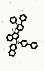 c1ccc(-c2ccc(N(c3ccc4ccccc4c3)c3cc4c5ccc(-c6ccccc6)c(-c6ccccc6)c5oc4c4ccccc34)cc2)cc1